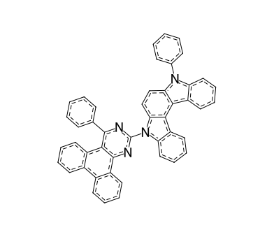 c1ccc(-c2nc(-n3c4ccccc4c4c5c6ccccc6n(-c6ccccc6)c5ccc43)nc3c4ccccc4c4ccccc4c23)cc1